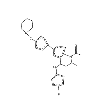 CC(=O)N1c2ccc(-c3ccc(CN4CCCCC4)cc3)cc2C(Nc2ccc(F)cc2)CC1C